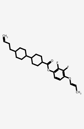 C=CCCC1CCC(C2CCC(C(=O)Oc3ccc(O/C=C/C)c(F)c3F)CC2)CC1